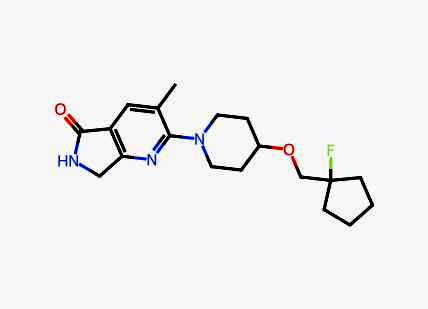 Cc1cc2c(nc1N1CCC(OCC3(F)CCCC3)CC1)CNC2=O